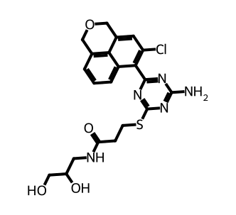 Nc1nc(SCCC(=O)NCC(O)CO)nc(-c2c(Cl)cc3c4c(cccc24)COC3)n1